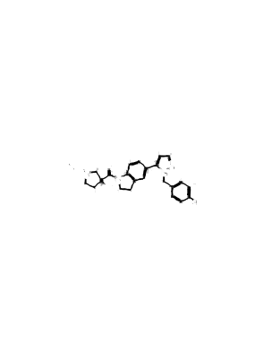 N#CN1CCC(F)(C(=O)N2CCc3cc(-c4ccnn4Cc4ccc(Cl)cc4)ccc32)C1